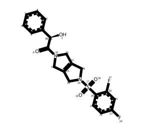 O=C([C@H](O)c1ccccc1)N1CC2=C(C1)CN(S(=O)(=O)c1ccc(F)cc1F)C2